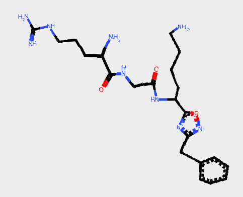 N=C(N)NCCCC(N)C(=O)NCC(=O)NC(CCCCN)c1nc(Cc2ccccc2)no1